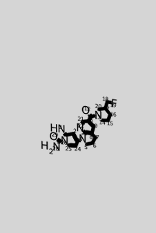 N=c1cc(N2CCCc3cc(C(=O)N4CCCC(CF)C4)cnc32)ccn1C(N)=O